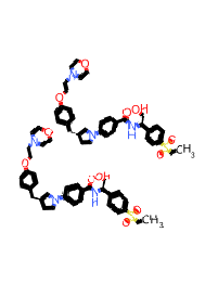 CCS(=O)(=O)c1ccc([C@H](CO)NC(=O)c2ccc(N3CC[C@@H](Cc4ccc(OCCN5CCOCC5)cc4)C3)cc2)cc1.CCS(=O)(=O)c1ccc([C@H](CO)NC(=O)c2ccc(N3CC[C@H](Cc4ccc(OCCN5CCOCC5)cc4)C3)cc2)cc1